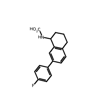 O=C(O)NC1CCCc2ccc(-c3ccc(F)cc3)cc21